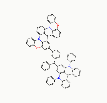 c1ccc(C(c2cccc(-c3cc4c5c(c3)B3c6cccc7c6N(c6ccccc6O7)c6cccc(c63)N5c3ccccc3O4)c2)c2cc3c4c(c2)N(c2ccccc2)c2ccccc2B4c2ccccc2N3c2ccccc2)cc1